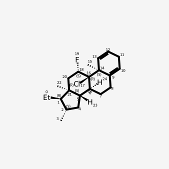 CC[C@@H]1[C@@H](C)C[C@H]2[C@@H]3CCC4=CCC=C[C@]4(C)[C@@]3(Cl)[C@@H](F)C[C@]12C